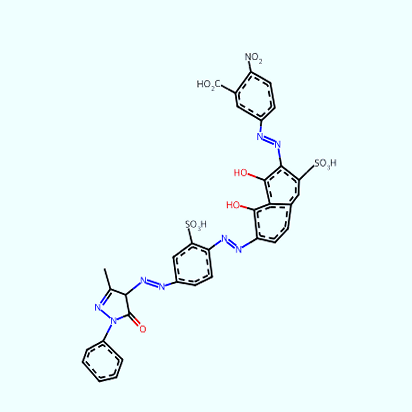 CC1=NN(c2ccccc2)C(=O)C1N=Nc1ccc(N=Nc2ccc3cc(S(=O)(=O)O)c(N=Nc4ccc([N+](=O)[O-])c(C(=O)O)c4)c(O)c3c2O)c(S(=O)(=O)O)c1